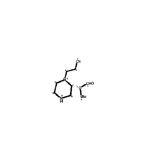 CC(C)(C)OC=O.N#CCCN1CCNCC1